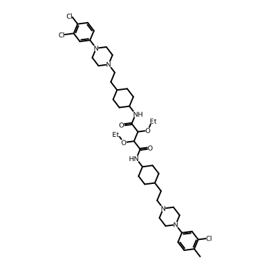 CCOC(C(=O)NC1CCC(CCN2CCN(c3ccc(C)c(Cl)c3)CC2)CC1)C(OCC)C(=O)NC1CCC(CCN2CCN(c3ccc(Cl)c(Cl)c3)CC2)CC1